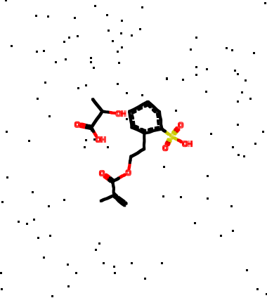 C=C(C)C(=O)OCCc1ccccc1S(=O)(=O)O.CC(O)C(=O)O